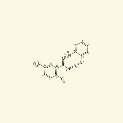 O=C(N=[N+]=Nc1ccccc1[N+](=O)[O-])c1cc([N+](=O)[O-])ccc1Cl